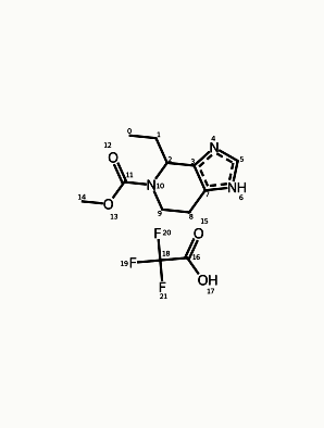 CCC1c2nc[nH]c2CCN1C(=O)OC.O=C(O)C(F)(F)F